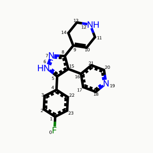 Fc1ccc(-c2[nH]nc(C3=CCNCC3)c2-c2ccncc2)cc1